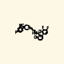 N#CC1(c2ccc(F)cc2)CCN(CCCNC(=O)N2C(=O)CCC[C@H]2c2ccc(F)c(F)c2)CC1